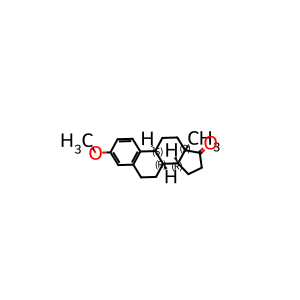 COc1ccc2c(c1)CC[C@@H]1[C@@H]2CC[C@]2(C)C(=O)CC[C@H]12